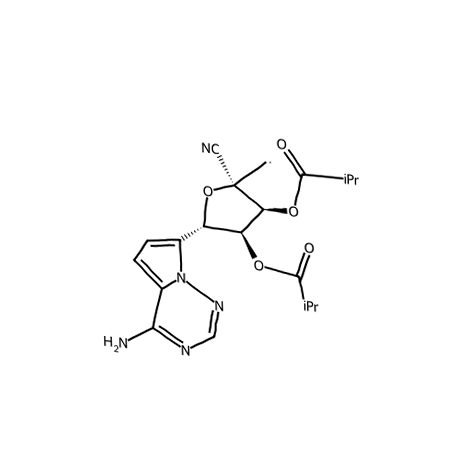 [CH2][C@]1(C#N)O[C@@H](c2ccc3c(N)ncnn23)[C@H](OC(=O)C(C)C)[C@@H]1OC(=O)C(C)C